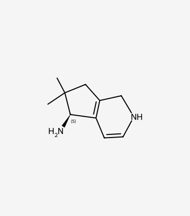 CC1(C)CC2=C(C=CNC2)[C@H]1N